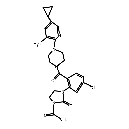 CC(=O)N1CCN(c2cc(Cl)ccc2C(=O)N2CCN(c3ncc(C4CC4)cc3C)CC2)C1=O